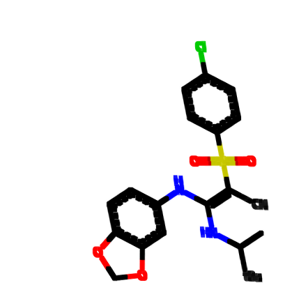 CC(N/C(Nc1ccc2c(c1)OCO2)=C(\C#N)S(=O)(=O)c1ccc(Cl)cc1)C(C)(C)C